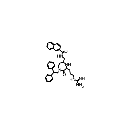 N=C(N)NCCCC1NC(CNC(=O)c2ccc3ccccc3c2)CCN(CC(c2ccccc2)c2ccccc2)C1=O